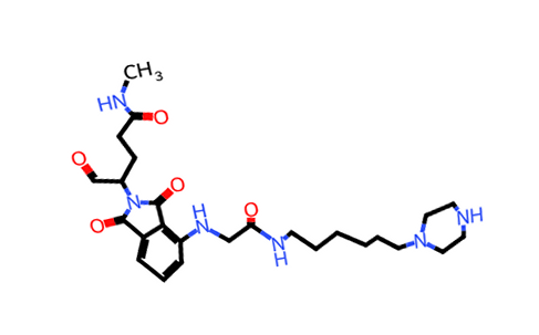 CNC(=O)CCC(C=O)N1C(=O)c2cccc(NCC(=O)NCCCCCCN3CCNCC3)c2C1=O